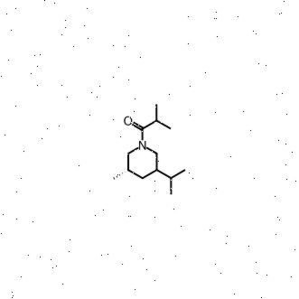 CC(C)C(=O)N1CC(C(C)C)C[C@H](C)C1